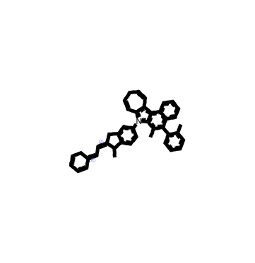 Cc1ccccc1-c1c(C)c2c(c3c(n2-c2ccc4c(c2)C/C(=C/C=C2/C=CC=CC2)C4C)C=CCC=C3)c2ccccc12